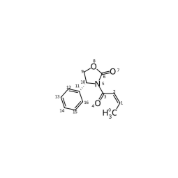 C/C=C\C(=O)N1C(=O)OC[C@H]1c1ccccc1